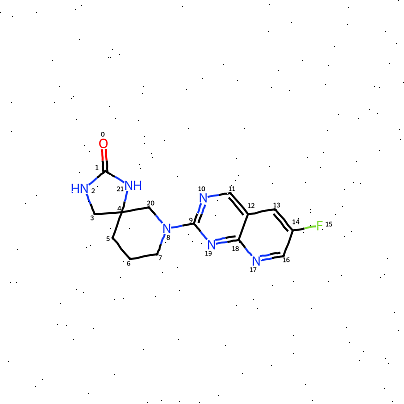 O=C1NCC2(CCCN(c3ncc4cc(F)cnc4n3)C2)N1